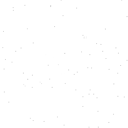 CC(C)C(O)(CCc1ccccc1CO)CC(=O)n1ccnc1